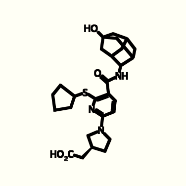 O=C(O)C[C@@H]1CCN(c2ccc(C(=O)NC3C4CC5CC3CC(O)(C5)C4)c(SC3CCCC3)n2)C1